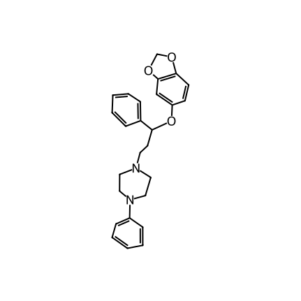 c1ccc(C(CCN2CCN(c3ccccc3)CC2)Oc2ccc3c(c2)OCO3)cc1